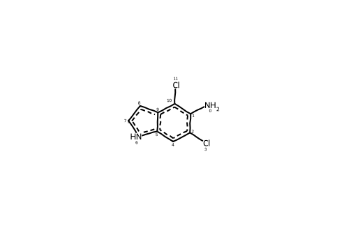 Nc1c(Cl)cc2[nH][c]cc2c1Cl